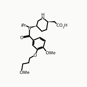 COCCCOc1cc(C(=O)N(C(C)C)[C@@H]2CC[C@H](CC(=O)O)NC2)ccc1OC